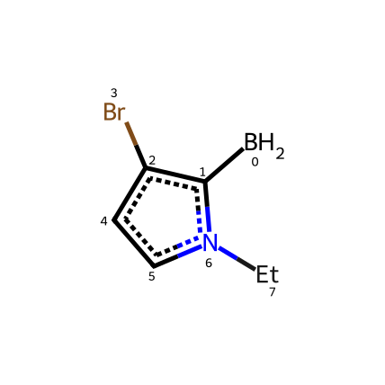 Bc1c(Br)ccn1CC